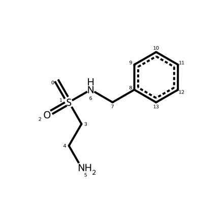 C=S(=O)(CCN)NCc1ccccc1